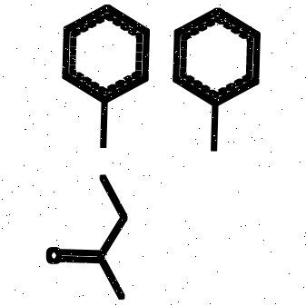 CCC(C)=O.Cc1ccccc1.Cc1ccccc1